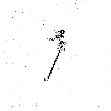 CCC=CCC=CCC=CCC=CCC=CCC=CCCC(=O)NCCN1C(=O)CC(SC[C@H](NC(=O)c2ccccc2O)C(=O)OC)C1=O